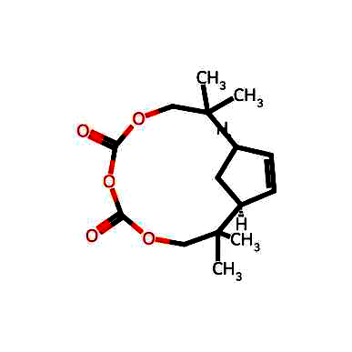 CC1(C)COC(=O)OC(=O)OCC(C)(C)[C@H]2C=C[C@@H]1C2